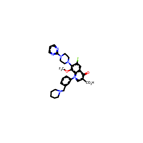 O=C(O)c1cn(-c2cccc(CN3CCCCC3)c2)c2c(OC(F)(F)F)c(N3CCN(c4ncccn4)CC3)c(F)cc2c1=O